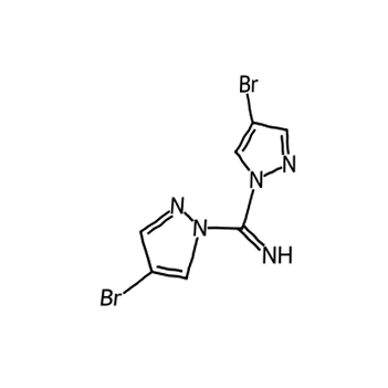 N=C(n1cc(Br)cn1)n1cc(Br)cn1